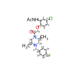 CC(=O)Nc1cc(Cl)ccc1OCC(=O)N1CC(C)N(Cc2ccc(F)cc2)CC1C